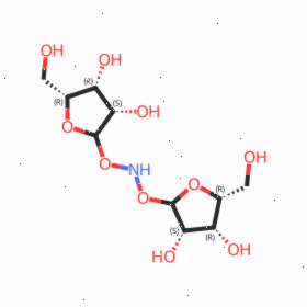 OC[C@H]1OC(ONOC2O[C@H](CO)[C@H](O)[C@@H]2O)[C@@H](O)[C@H]1O